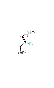 CCCCC(F)=C[C]=O